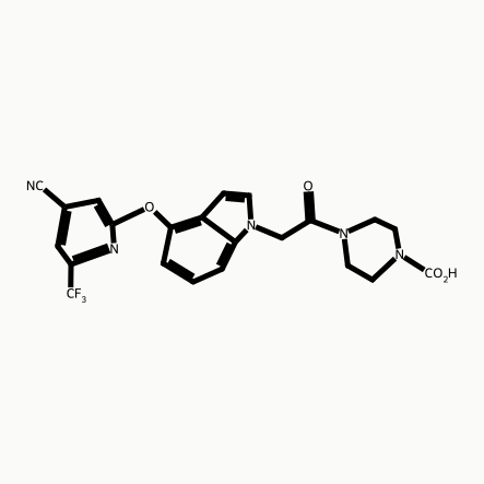 N#Cc1cc(Oc2cccc3c2ccn3CC(=O)N2CCN(C(=O)O)CC2)nc(C(F)(F)F)c1